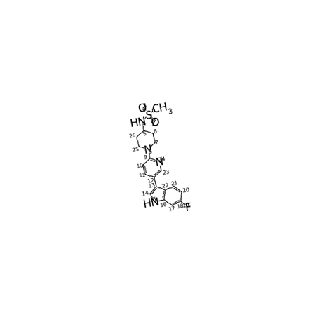 CS(=O)(=O)NC1CCN(c2ccc(-c3c[nH]c4cc(F)ccc34)cn2)CC1